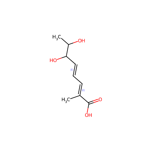 C/C(=C\C=C\C(O)C(C)O)C(=O)O